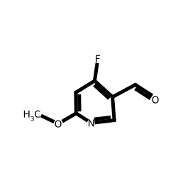 COc1cc(F)c(C=O)cn1